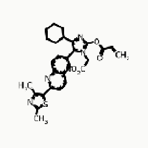 C=CC(=O)Oc1nc(C2CCCCC2)c(-c2ccc3nc(-c4sc(C)nc4C)ccc3c2)n1CC(=O)O